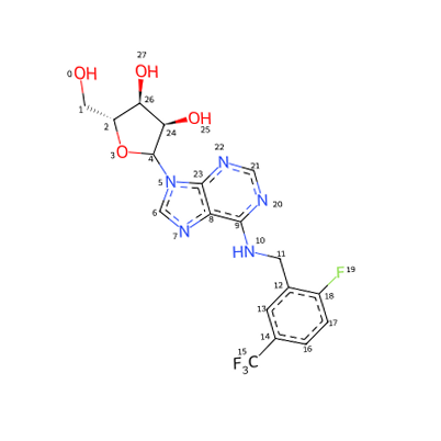 OC[C@H]1OC(n2cnc3c(NCc4cc(C(F)(F)F)ccc4F)ncnc32)[C@H](O)[C@@H]1O